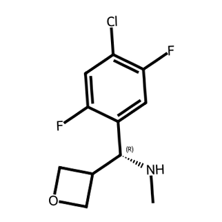 CN[C@@H](c1cc(F)c(Cl)cc1F)C1COC1